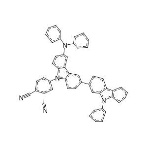 N#Cc1ccc(-n2c3ccc(-c4ccc5c6ccccc6n(-c6ccccc6)c5c4)cc3c3cc(N(c4ccccc4)c4ccccc4)ccc32)cc1C#N